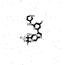 CC(O)(c1cn2c(-c3cc(F)cc(NC4CCNC4)n3)cnc2cn1)C(F)(F)F